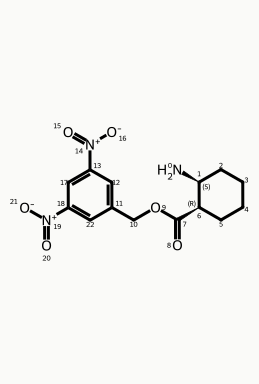 N[C@H]1CCCC[C@H]1C(=O)OCc1cc([N+](=O)[O-])cc([N+](=O)[O-])c1